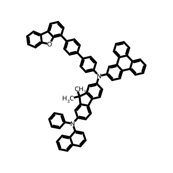 CC1(C)c2cc(N(c3ccc(-c4ccc(-c5cccc6c5oc5ccccc56)cc4)cc3)c3ccc4c5ccccc5c5ccccc5c4c3)ccc2-c2ccc(N(c3ccccc3)c3cccc4ccccc34)cc21